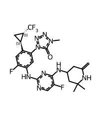 C=C1CC(Nc2nc(Nc3cc(-n4nnn(C)c4=O)c([C@H]4C[C@@H]4C(F)(F)F)cc3F)ncc2F)CC(C)(C)N1